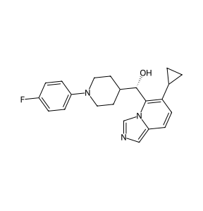 O[C@H](c1c(C2CC2)ccc2cncn12)C1CCN(c2ccc(F)cc2)CC1